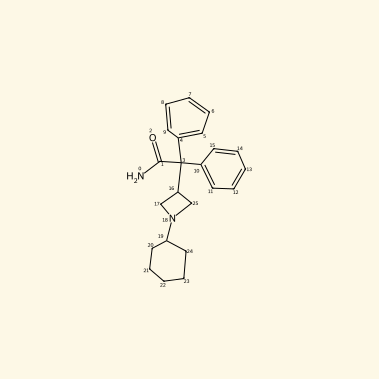 NC(=O)C(c1ccccc1)(c1ccccc1)C1CN(C2CCCCC2)C1